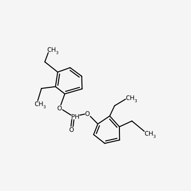 CCc1cccc(O[PH](=O)Oc2cccc(CC)c2CC)c1CC